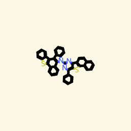 c1ccc(-c2nc(-n3c4ccccc4c4c5c6ccccc6sc5c5ccccc5c43)nc3c2sc2c4ccccc4ccc32)cc1